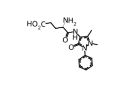 Cc1c(NC(=O)[C@@H](N)CCC(=O)O)c(=O)n(-c2ccccc2)n1C